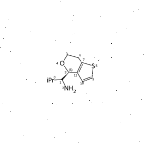 CC(C)C(N)[C@H]1OCCc2sccc21